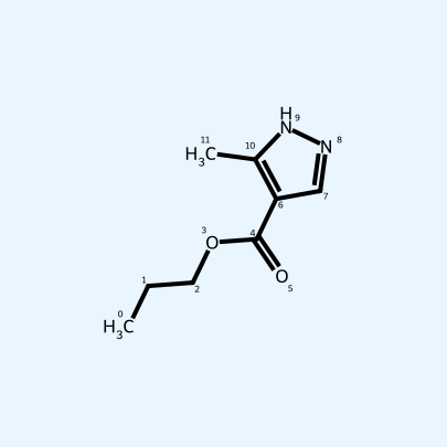 CCCOC(=O)c1cn[nH]c1C